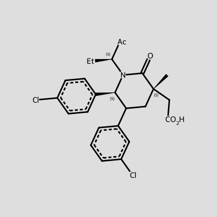 CC[C@@H](C(C)=O)N1C(=O)[C@](C)(CC(=O)O)CC(c2cccc(Cl)c2)[C@H]1c1ccc(Cl)cc1